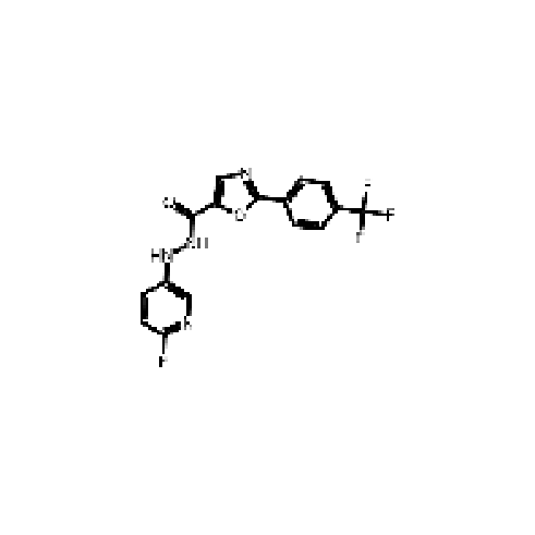 O=C(NNc1ccc(F)nc1)c1cnc(-c2ccc(C(F)(F)F)cc2)o1